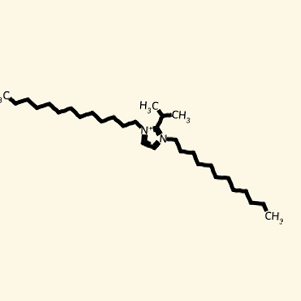 CCCCCCCCCCCCC[n+]1ccn(CCCCCCCCCCCC)c1C(C)C